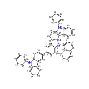 CC1CC=Cc2cccc(-n3c4ccc(-c5ccc6c(c5)c5ccccc5n6C5=CC=CCC5)cc4c4ccc5c(c6ccccc6n5-c5ccccc5)c43)c21